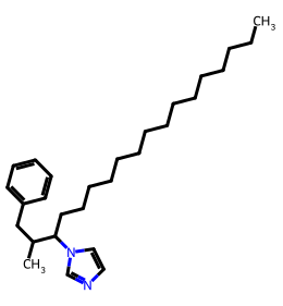 CCCCCCCCCCCCCCCC(C(C)Cc1ccccc1)n1ccnc1